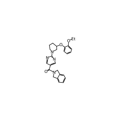 CCOc1ccccc1OC1CCCN(c2ncc(C(=O)N3Cc4ccccc4C3)cn2)C1